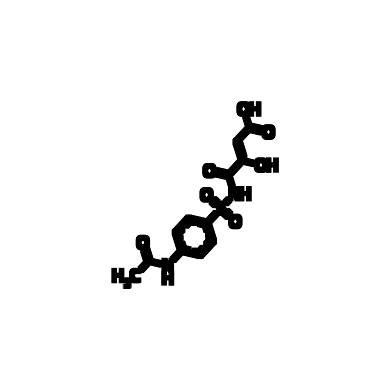 CC(=O)Nc1ccc(S(=O)(=O)NC(=O)/C(O)=C/C(=O)O)cc1